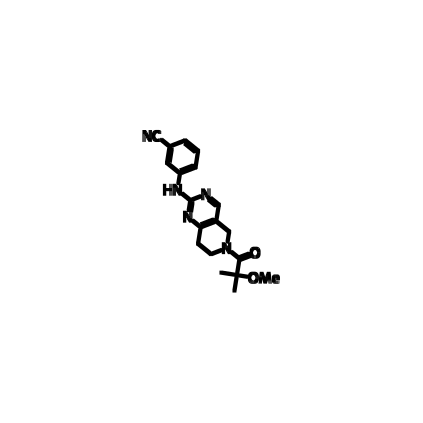 COC(C)(C)C(=O)N1CCc2nc(Nc3cccc(C#N)c3)ncc2C1